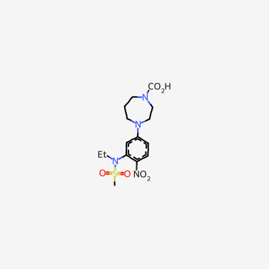 CCN(c1cc(N2CCCN(C(=O)O)CC2)ccc1[N+](=O)[O-])S(C)(=O)=O